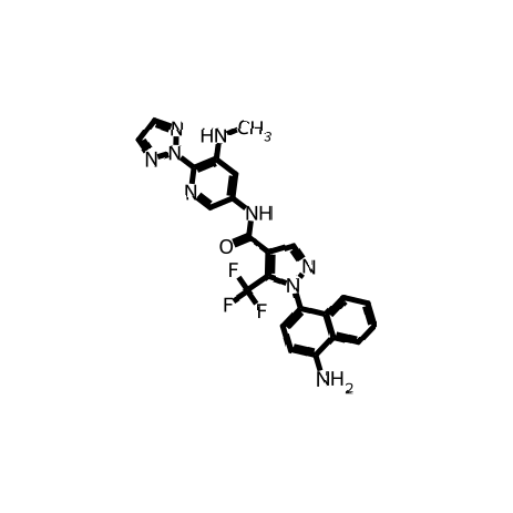 CNc1cc(NC(=O)c2cnn(-c3ccc(N)c4ccccc34)c2C(F)(F)F)cnc1-n1nccn1